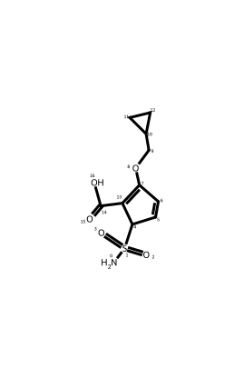 NS(=O)(=O)C1C=CC(OCC2CC2)=C1C(=O)O